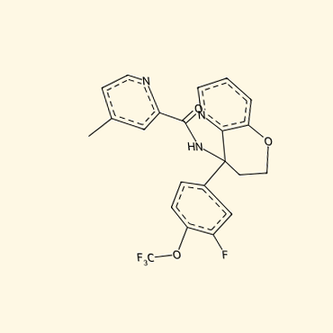 Cc1ccnc(C(=O)NC2(c3ccc(OC(F)(F)F)c(F)c3)CCOc3cccnc32)c1